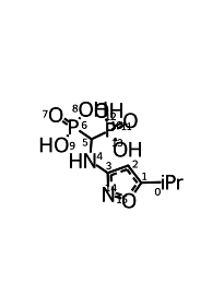 CC(C)c1cc(NC(P(=O)(O)O)P(=O)(O)O)no1